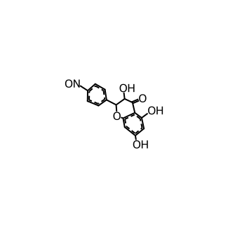 O=Nc1ccc(C2Oc3cc(O)cc(O)c3C(=O)C2O)cc1